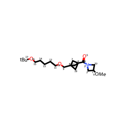 COC1CN(C(=O)C23CC(COCCCCCOC(C)(C)C)(C2)C3)C1